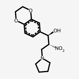 O=[N+]([O-])[C@H](CN1CCCC1)[C@H](O)c1ccc2c(c1)OCCO2